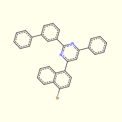 Brc1ccc(-c2cc(-c3ccccc3)nc(-c3cccc(-c4ccccc4)c3)n2)c2ccccc12